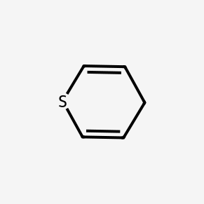 C1=CSC=CC1